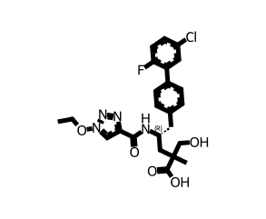 CCOn1cc(C(=O)N[C@H](Cc2ccc(-c3cc(Cl)ccc3F)cc2)CC(C)(CO)C(=O)O)nn1